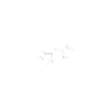 c1nc(Cc2ncsn2)n[nH]1